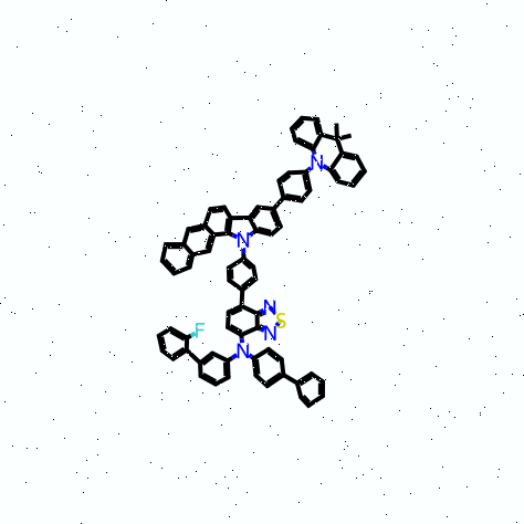 CC1(C)c2ccccc2N(c2ccc(-c3ccc4c(c3)c3ccc5cc6ccccc6cc5c3n4-c3ccc(-c4ccc(N(c5ccc(-c6ccccc6)cc5)c5cccc(-c6ccccc6F)c5)c5nsnc45)cc3)cc2)c2ccccc21